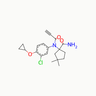 C#CC(=O)N(c1ccc(OC2CC2)c(Cl)c1)C1(C(N)=O)CCC(C)(C)C1